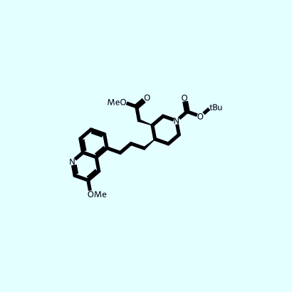 COC(=O)C[C@H]1CN(C(=O)OC(C)(C)C)CC[C@H]1CCCc1cccc2ncc(OC)cc12